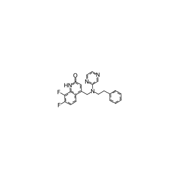 O=c1cc(CN(CCc2ccccc2)c2cnccn2)c2ccc(F)c(F)c2[nH]1